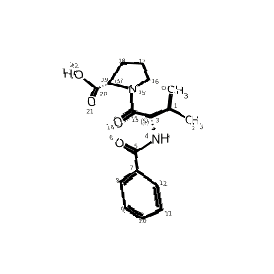 CC(C)[C@H](NC(=O)c1ccccc1)C(=O)N1CCC[C@H]1C(=O)O